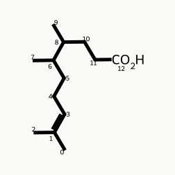 CC(C)=CCCC(C)C(C)CCC(=O)O